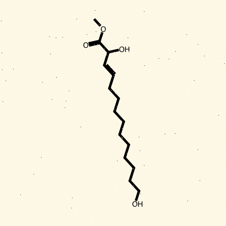 COC(=O)C(O)C=CCCCCCCCCCCO